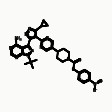 CC(C)(C)n1nc(-c2noc(C3CC3)c2-c2ncc(C3CCN(C(=O)Oc4ccc([N+](=O)[O-])cc4)CC3)cn2)c2c(N)ncnc21